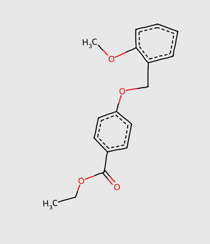 CCOC(=O)c1ccc(OCc2ccccc2OC)cc1